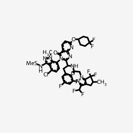 CSNc1nn(C)c2c(-n3c(C(Cc4cc(F)cc(F)c4)NC(=O)Cn4nc(C(F)F)c5c4C(F)(F)C(C)C5)nc4nc(OC5CCC(F)(F)CC5)ccc4c3=O)ccc(Cl)c12